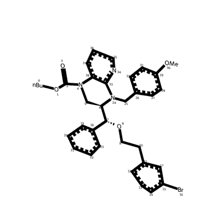 CCCCOC(=O)N1C[C@H]([C@H](OCCc2cccc(Br)c2)c2ccccc2)N(Cc2ccc(OC)cc2)c2ncccc21